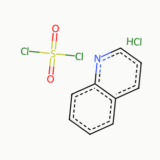 Cl.O=S(=O)(Cl)Cl.c1ccc2ncccc2c1